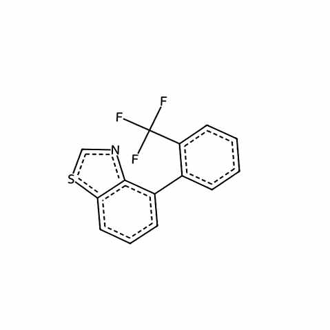 FC(F)(F)c1ccccc1-c1cccc2scnc12